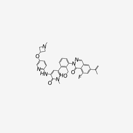 C=C(C)c1cc(F)c2c(=O)n(-c3cccc(-c4cc(Nc5ccc(OC6CN(C)C6)cn5)c(=O)n(C)c4)c3CO)ncc2c1